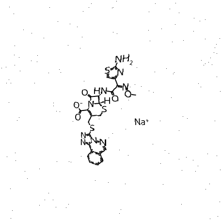 CO/N=C(\C(=O)N[C@@H]1C(=O)N2C(C(=O)[O-])=C(CSc3nnc4c5ccccc5cnn34)CS[C@@H]12)c1csc(N)n1.[Na+]